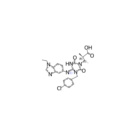 CCn1cnc2cc(/N=c3\[nH]c(=O)n([C@@H](C)[C@@H](C)C(=O)O)c(=O)n3Cc3ccc(Cl)cc3)ccc21